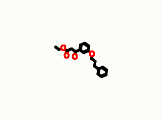 CCOC(=O)CC(=O)c1cccc(OCCCc2ccccc2)c1